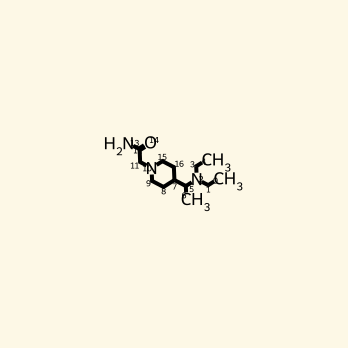 CCN(CC)C(C)C1CCN(CC(N)=O)CC1